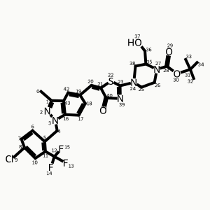 Cc1nn(Cc2ccc(Cl)cc2C(F)(F)F)c2ccc(C=C3SC(N4CCN(C(=O)OC(C)(C)C)C(CO)C4)=NC3=O)cc12